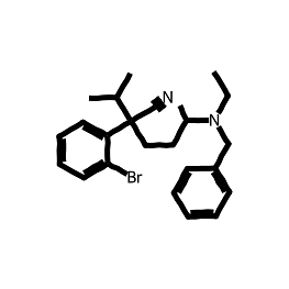 CCN(Cc1ccccc1)C(C)CCC(C#N)(c1ccccc1Br)C(C)C